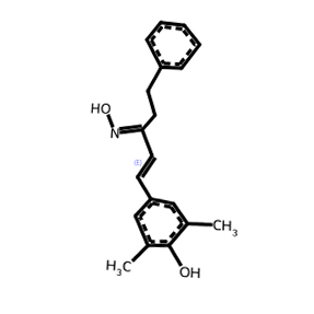 Cc1cc(/C=C/C(CCc2ccccc2)=NO)cc(C)c1O